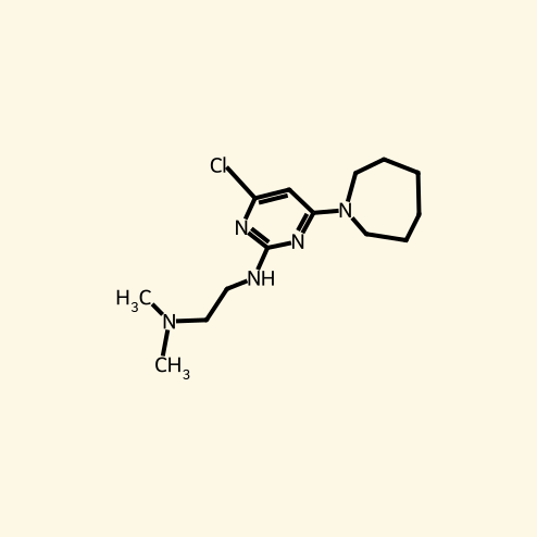 CN(C)CCNc1nc(Cl)cc(N2CCCCCC2)n1